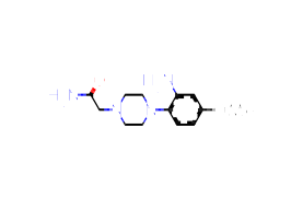 COc1ccc(N2CCN(CC(N)=O)CC2)c(N)c1